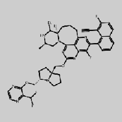 C#Cc1c(F)ccc2cccc(-c3nc4c5c(nc(OC[C@@]67CCCN6[C@H](COc6nccnc6C(F)F)CC7)nc5c3F)N3C[C@@H](C)N[C@@H](CC)[C@H]3CCC4)c12